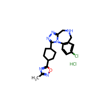 Cc1noc(C2CCC(c3nnc4n3-c3ccc(Cl)cc3CNC4)CC2)n1.Cl